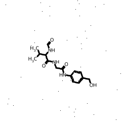 CC(C)C(NC=O)C(=O)NCC(=O)Nc1ccc(CO)cc1